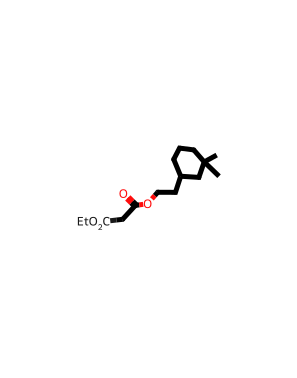 CCOC(=O)CC(=O)OCCC1CCCC(C)(C)C1